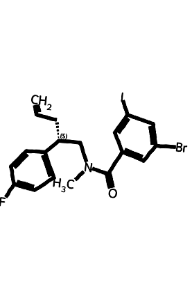 C=CC[C@H](CN(C)C(=O)c1cc(Br)cc(I)c1)c1ccc(F)cc1